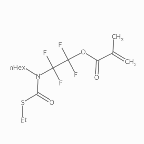 C=C(C)C(=O)OC(F)(F)C(F)(F)N(CCCCCC)C(=O)SCC